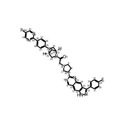 O=C(CN1CC[C@@H](c2ncc3cc4[nH]nc(-c5ccc(F)cc5)c4cc3n2)C1)N1C[C@@H]2C[C@H]1CN2c1ccc(-c2ncc(F)cn2)cc1